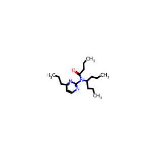 CCCC(=O)N(c1nccc(CCC)n1)C(CCC)CCC